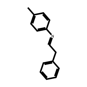 Cc1ccc(N=CCc2ccccc2)cc1